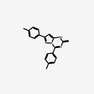 C=C1N=C(c2ccc(C)cc2)n2nc(-c3ccc(C)cc3)cc2N1